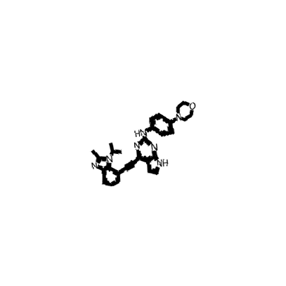 Cc1nc2cccc(C#Cc3nc(Nc4ccc(N5CCOCC5)cc4)nc4[nH]ccc34)c2n1C(C)C